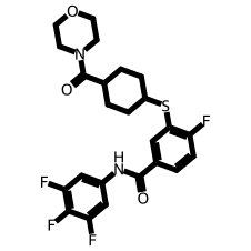 O=C(Nc1cc(F)c(F)c(F)c1)c1ccc(F)c(SC2CCC(C(=O)N3CCOCC3)CC2)c1